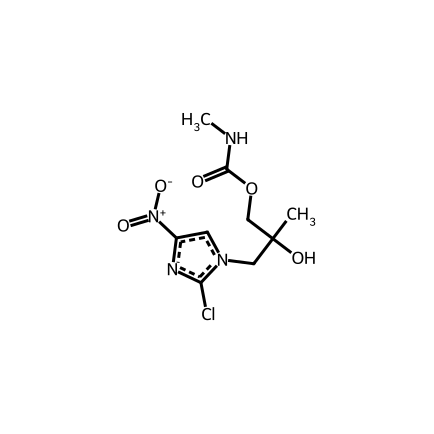 CNC(=O)OCC(C)(O)Cn1cc([N+](=O)[O-])nc1Cl